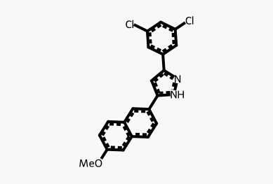 COc1ccc2cc(-c3cc(-c4cc(Cl)cc(Cl)c4)n[nH]3)ccc2c1